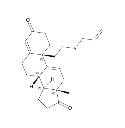 C=CCSCC[C@]12CCC(=O)C=C1CC[C@@H]1C2=CC[C@]2(C)C(=O)CC[C@@H]12